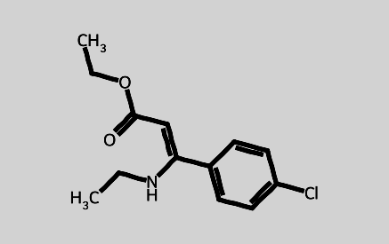 CCNC(=CC(=O)OCC)c1ccc(Cl)cc1